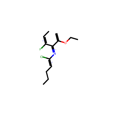 C=C(OCC)C(=N/C(Cl)=C/CCC)/C(F)=C\C